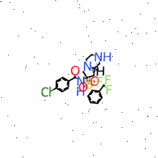 O=C(N[C@]1(S(=O)(=O)c2ccccc2C(F)(F)F)C[C@H]2CNCCN2C1)c1ccc(Cl)cc1